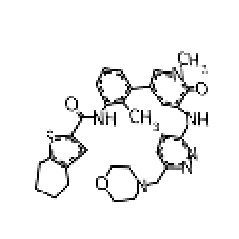 Cc1c(NC(=O)c2cc3c(s2)CCCC3)cccc1-c1cc(Nc2ccc(CN3CCOCC3)nn2)c(=O)n(C)c1